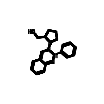 OCC1CCCN1N1C=c2ccccc2=N[C@H]1c1ccccc1